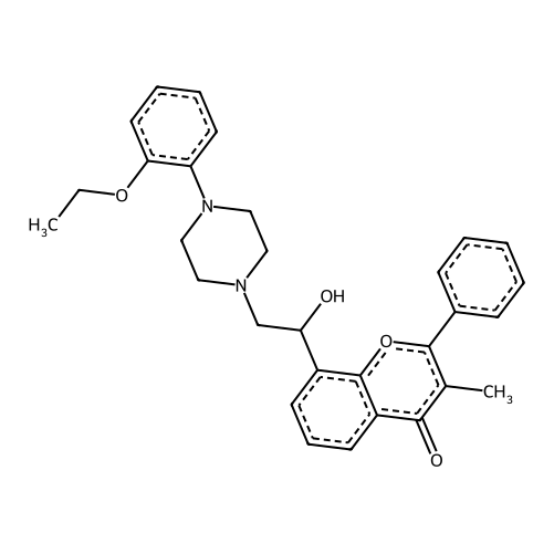 CCOc1ccccc1N1CCN(CC(O)c2cccc3c(=O)c(C)c(-c4ccccc4)oc23)CC1